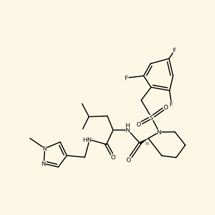 CC(C)CC(NC(=O)[C@@H]1CCCCN1S(=O)(=O)Cc1c(F)cc(F)cc1F)C(=O)NCc1cnn(C)c1